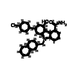 NC(=O)c1cccc2c1c1c(O)cc(-c3ccc(Cl)cc3)cc1n2Cc1ccc2ccccc2c1